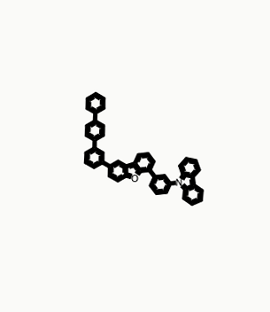 c1ccc(-c2ccc(-c3cccc(-c4ccc5oc6c(-c7cccc(-n8c9ccccc9c9ccccc98)c7)cccc6c5c4)c3)cc2)cc1